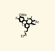 C/C=C1\C(=C/C(C)=O)[C@H](C)N=C(c2cc(OC)c(F)cc2Cl)c2ccc(CSSCC)cc21